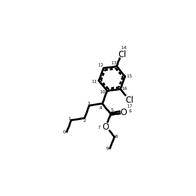 CCCCC(C(=O)OCC)c1ccc(Cl)cc1Cl